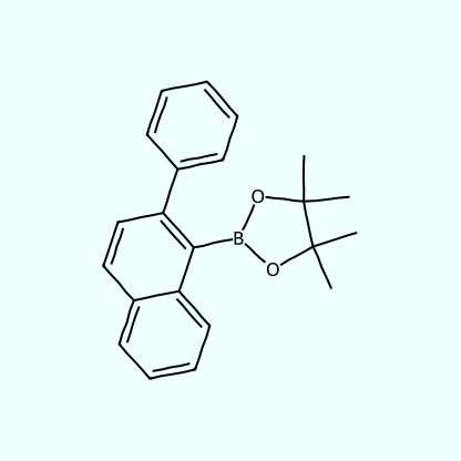 CC1(C)OB(c2c(-c3ccccc3)ccc3ccccc23)OC1(C)C